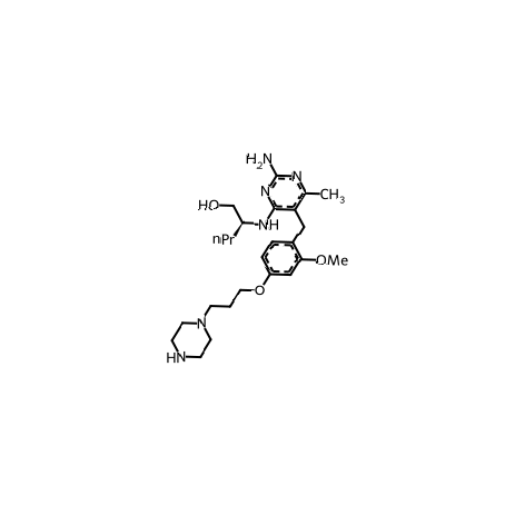 CCC[C@@H](CO)Nc1nc(N)nc(C)c1Cc1ccc(OCCCN2CCNCC2)cc1OC